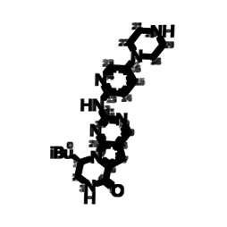 CCC(C)[C@@H]1CNC(=O)c2cc3cnc(Nc4ccc(N5CCNCC5)cn4)nc3n21